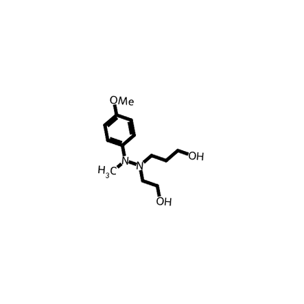 COc1ccc(N(C)N(CCO)CCCO)cc1